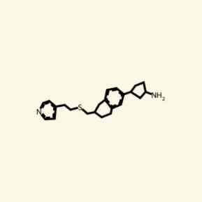 NC1CCC(c2ccc3c(c2)CCC(CSCCc2ccncc2)C3)C1